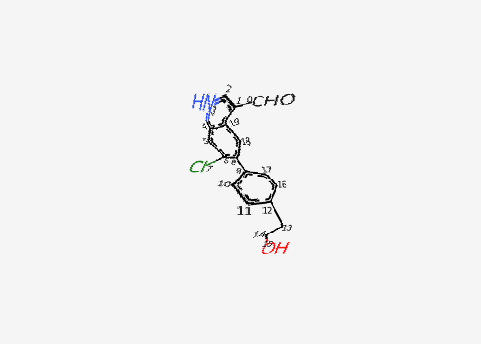 O=Cc1c[nH]c2cc(Cl)c(-c3ccc(CCO)cc3)cc12